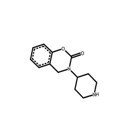 O=C1Oc2ccccc2CN1C1CCNCC1